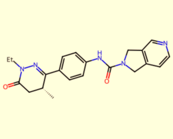 CCN1N=C(c2ccc(NC(=O)N3Cc4ccncc4C3)cc2)[C@H](C)CC1=O